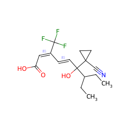 CCC(CC)C(O)(/C=C/C(=C\C(=O)O)C(F)(F)F)C1(C#N)CC1